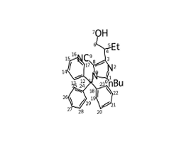 CCCCc1nc(C(CC)CO)c(C#N)n1C(c1ccccc1)(c1ccccc1)c1ccccc1